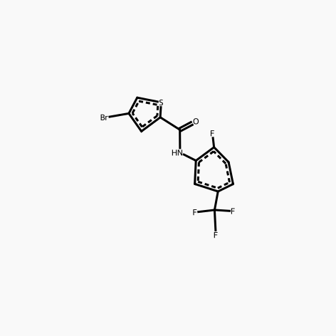 O=C(Nc1cc(C(F)(F)F)ccc1F)c1cc(Br)cs1